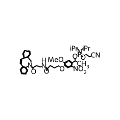 COc1cc(C(C)OP(OCCC#N)N(C(C)C)C(C)C)c([N+](=O)[O-])cc1OCCCC(=O)NCCC(=O)N1Cc2ccccc2C#Cc2ccccc21